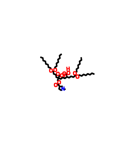 CCCCCCCCOC(CCCC(CCCC(CCCC(OCCCCCCCC)OCCCCCCCC)(COC(=O)C1CCN(C)C1)C(=O)O)C(=O)O)OCCCCCCCC